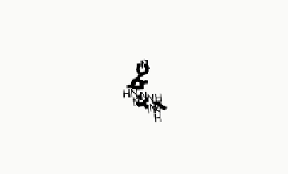 Cc1cc(Nc2nc(Nc3cc(C)c(C4CCN(C)CC4)cc3C)ncc2I)n[nH]1